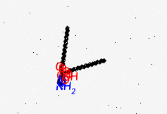 CCCCCCCCCCCCCCCCCCCC(=O)OC[C@H]1O[C@@H](n2ccc(N)nc2=O)[C@@H](O)[C@@H]1OC(=O)CCCCCCCCCCCCCCCCCCC